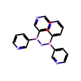 c1cncc(P([N]P(c2cccnc2)c2cccnc2)c2cccnc2)c1